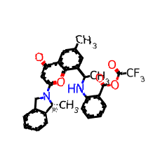 Cc1cc(C(C)Nc2ccccc2C(=O)OC(=O)C(F)(F)F)c2oc(N3Cc4ccccc4[C@H]3C)cc(=O)c2c1